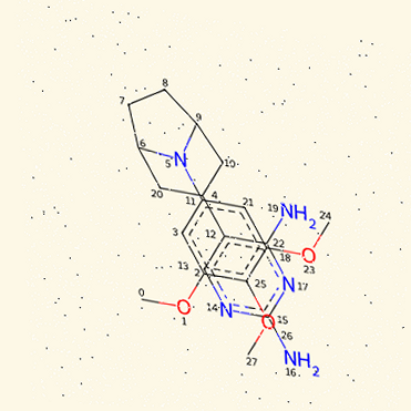 COc1cc(N2C3CCC2CC(c2cnc(N)nc2N)C3)cc(OC)c1OC